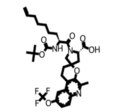 C=CCCCCC[C@H](NC(=O)OC(C)(C)C)C(=O)N1CC2(CCc3c(c(C)nc4ccc(OC(F)(F)F)cc34)O2)C[C@H]1C(=O)O